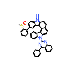 C[S+]([O-])c1ccccc1-c1ccc2[nH]c3ccc4ccc5c(c6ccccc6n5-c5nc(-c6ccccc6)c6ccccc6n5)c4c3c2c1